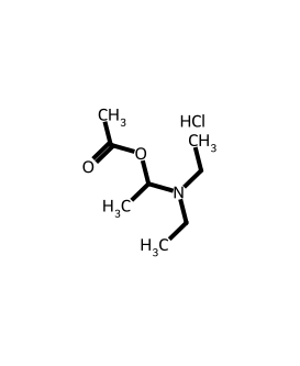 CCN(CC)C(C)OC(C)=O.Cl